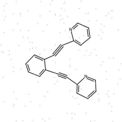 C(#Cc1ccccc1C#Cc1ccccn1)c1ccccn1